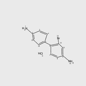 Cl.Nc1ccc(-c2ccc(N)cc2Br)cc1